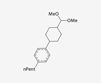 CCCCCc1ccc(C2CCC(C(OC)OC)CC2)cc1